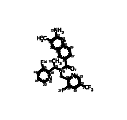 Cc1cc2cc(C(=O)N(Cc3ncc(C(F)(F)F)cc3F)[C@H](C)c3ncccc3F)ccc2nc1N